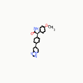 COc1ccc(C(C(N)=O)c2ccc(-c3ccn4ncnc4c3)cc2)cc1